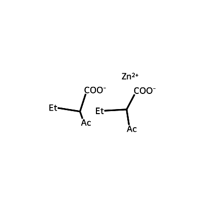 CCC(C(C)=O)C(=O)[O-].CCC(C(C)=O)C(=O)[O-].[Zn+2]